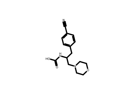 N#Cc1ccc(CC(CN2CCOCC2)NC(=O)O)cc1